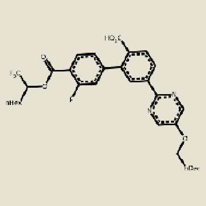 CCCCCCCCCCCOc1cnc(-c2ccc(C(=O)O)c(-c3ccc(C(=O)OC(CCCCCC)C(F)(F)F)c(F)c3)c2)nc1